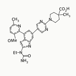 CCN(C(N)=O)c1nc2cc(-c3cnc(N4CCC(C)(C(=O)O)CC4)nc3)cc(-c3nc(C)ccc3OC)c2s1